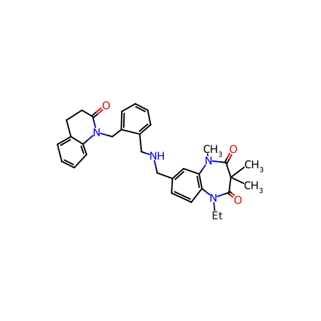 CCN1C(=O)C(C)(C)C(=O)N(C)c2cc(CNCc3ccccc3CN3C(=O)CCc4ccccc43)ccc21